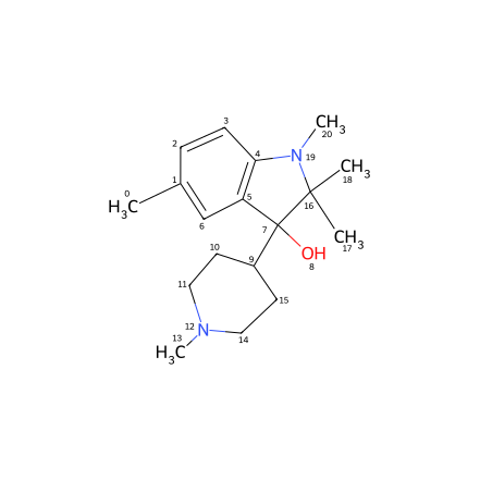 Cc1ccc2c(c1)C(O)(C1CCN(C)CC1)C(C)(C)N2C